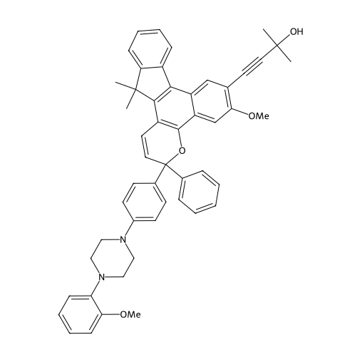 COc1cc2c3c(c4c(c2cc1C#CC(C)(C)O)-c1ccccc1C4(C)C)C=CC(c1ccccc1)(c1ccc(N2CCN(c4ccccc4OC)CC2)cc1)O3